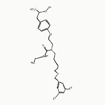 CCOC(Cc1ccc(OCCN(CCCCOCc2cc(Cl)cc(Cl)c2)C(=O)NCC(C)(C)C)cc1)C(=O)O